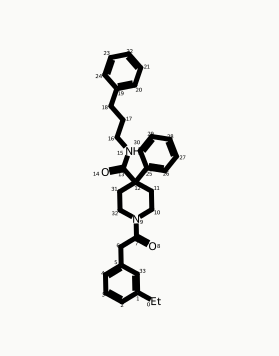 CCc1cccc(CC(=O)N2CCC(C(=O)NCCCc3ccccc3)(c3ccccc3)CC2)c1